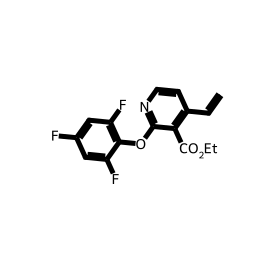 C=Cc1ccnc(Oc2c(F)cc(F)cc2F)c1C(=O)OCC